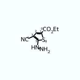 CCOC(=O)c1cc(C#N)c(NN)s1